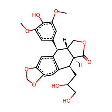 COc1cc([C@@H]2c3cc4c(cc3[C@H](CC(O)CO)[C@@H]3C(=O)OC[C@@H]23)OCO4)cc(OC)c1O